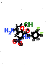 Cl.N[C@H]1CCOc2c(C(=O)Nc3ccc(F)c(F)c3)cc([N+](=O)[O-])cc21